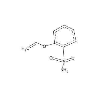 C=COc1ccccc1S(N)(=O)=O